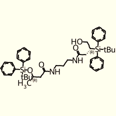 C[C@H](CC(=O)NCCCNC(=O)C[C@H](CO)[Si](c1ccccc1)(c1ccccc1)C(C)(C)C)O[Si](c1ccccc1)(c1ccccc1)C(C)(C)C